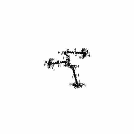 CC(=O)NC1C(OCCCCC(=O)NCCCCCC(=O)N2C[C@H](C)C[C@H]2COP(=O)(O)O[C@@H]2C[C@@H](COP(=O)(O)O[C@@H]3C[C@@H](CO)N(C(=O)CCCCCNC(=O)CCCCOC4OC(CO)C(O)C(O)C4NC(C)=O)C3)N(C(=O)CCCCCNC(=O)CCCCOC3OC(CO)C(O)C(O)C3NC(C)=O)C2)OC(CO)C(O)C1O